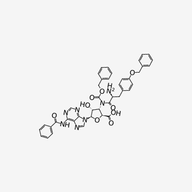 N[C@@H](Cc1ccc(OCc2ccccc2)cc1)C(=O)N(C(=O)OCc1ccccc1)[C@H]1[C@@H](O)[C@H](n2cnc3c(NC(=O)c4ccccc4)ncnc32)O[C@@H]1C(=O)O